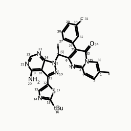 Cc1ccc2nc([C@H](C)n3nc(-c4cnc(C(C)(C)C)s4)c4c(N)ncnc43)c(-c3cccc(F)c3)c(=O)n2c1